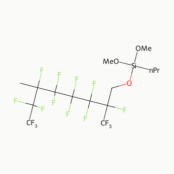 CCC[Si](OC)(OC)OCC(F)(C(F)(F)F)C(F)(F)C(F)(F)C(F)(F)C(C)(F)C(F)(F)C(F)(F)F